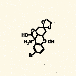 Cl.NC1(C(=O)O)c2cc(Br)ccc2OC2CC3(CCC21)OCCO3